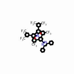 FC(F)(F)c1cccc(-c2cc(-c3nc(-c4ccccc4)cc(-c4ccccc4)n3)cc(-c3cccc(C(F)(F)F)c3)c2-n2c3ccc(-c4cc(C(F)(F)F)cc(C(F)(F)F)c4)cc3c3cc(-c4cc(C(F)(F)F)cc(C(F)(F)F)c4)ccc32)c1